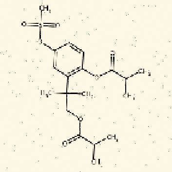 CC(C)C(=O)OCC(C)(C)c1cc(OS(C)(=O)=O)ccc1OC(=O)C(C)C